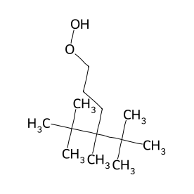 CC(C)(C)C(C)(CCCOO)C(C)(C)C